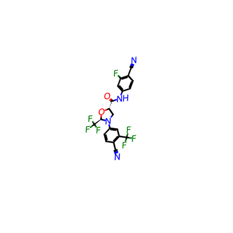 N#Cc1ccc(NC(=O)[C@@H]2CN(c3ccc(C#N)c(C(F)(F)F)c3)[C@@H](C(F)(F)F)O2)cc1F